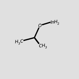 CC(C)[O][InH2]